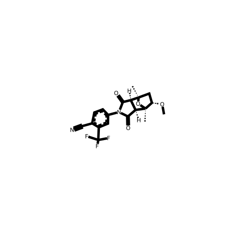 CO[C@H]1C[C@@]2(C)O[C@]1(C)[C@H]1C(=O)N(c3ccc(C#N)c(C(F)(F)F)c3)C(=O)[C@H]12